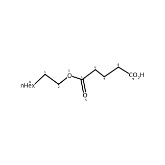 CCCCCCCCOC(=O)CCCC(=O)O